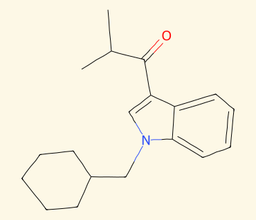 CC(C)C(=O)c1cn(CC2CCCCC2)c2ccccc12